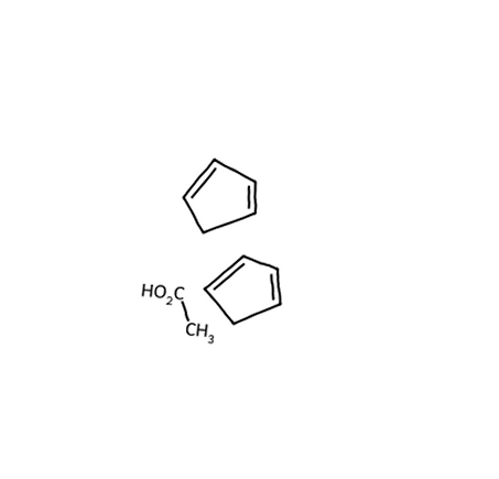 C1=CCC=C1.C1=CCC=C1.CC(=O)O